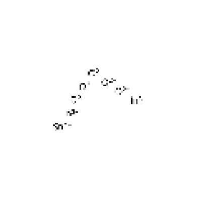 [In+3].[In+3].[O-2].[O-2].[O-2].[O-2].[O-2].[Sn+4]